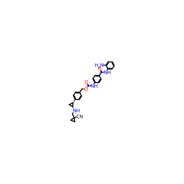 N#CC1(CN[C@@H]2C[C@H]2c2ccc(COC(=O)Nc3ccc(C(=O)Nc4ccccc4N)cc3)cc2)CC1